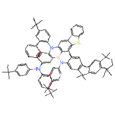 CC(C)(C)c1ccc(N2B3c4cc(N(c5ccc(C(C)(C)C)cc5)c5ccc(C(C)(C)C)cc5)ccc4N(c4ccc(C(C)(C)C)cc4-c4ccccc4)c4cc5c(sc6ccccc65)c(c43)-c3cc4c(cc32)C(C)(C)c2cc3c(cc2-4)C(C)(C)CCC3(C)C)cc1